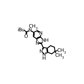 CCC(C)C(=O)N(C)c1cnc2[nH]c(-c3n[nH]c4c3CCC(C)(C)C4)nc2c1